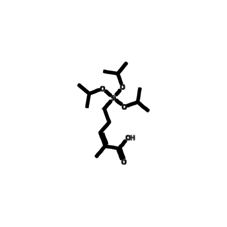 CC(=CC[CH][Si](OC(C)C)(OC(C)C)OC(C)C)C(=O)O